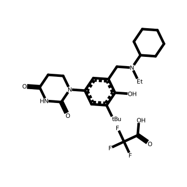 CCN(Cc1cc(N2CCC(=O)NC2=O)cc(C(C)(C)C)c1O)C1CCCCC1.O=C(O)C(F)(F)F